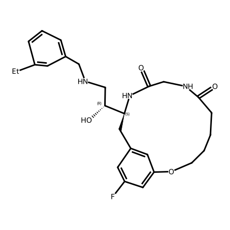 CCc1cccc(CNC[C@@H](O)[C@@H]2Cc3cc(F)cc(c3)OCCCCC(=O)NCC(=O)N2)c1